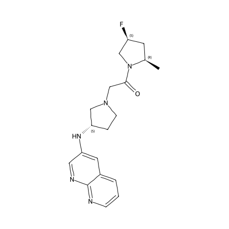 C[C@@H]1C[C@H](F)CN1C(=O)CN1CC[C@H](Nc2cnc3ncccc3c2)C1